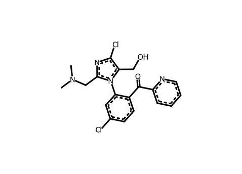 CN(C)Cc1nc(Cl)c(CO)n1-c1cc(Cl)ccc1C(=O)c1ccccn1